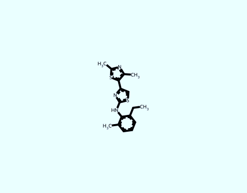 CCc1cccc(C)c1Nc1nc(-c2sc(C)nc2C)cs1